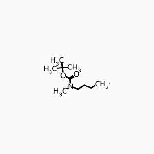 [CH2]CCCN(C)C(=O)OC(C)(C)C